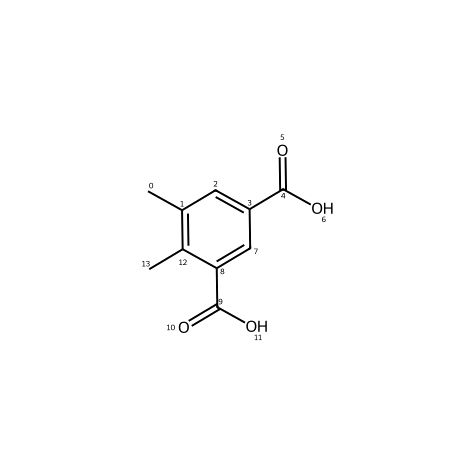 Cc1cc(C(=O)O)cc(C(=O)O)c1C